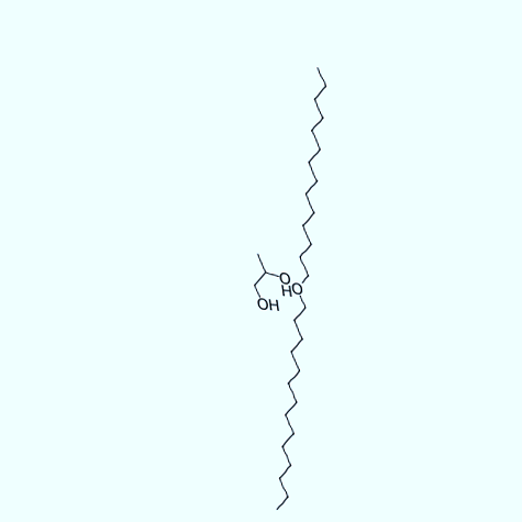 CC(O)CO.CCCCCCCCCCCCCCOCCCCCCCCCCCCCC